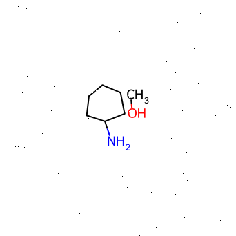 CO.NC1CCCCC1